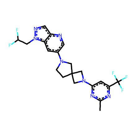 Cc1nc(N2CC3(CCN(c4cnc5cnn(CC(F)F)c5c4)C3)C2)cc(C(F)(F)F)n1